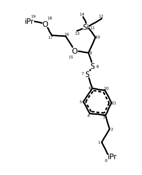 CC(C)CCc1ccc(SSC(C[Si](C)(C)C)OCCOC(C)C)cc1